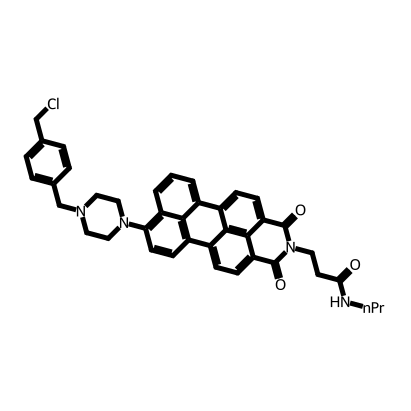 CCCNC(=O)CCN1C(=O)c2ccc3c4cccc5c(N6CCN(Cc7ccc(CCl)cc7)CC6)ccc(c6ccc(c2c36)C1=O)c54